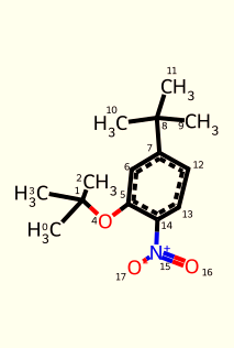 CC(C)(C)Oc1cc(C(C)(C)C)ccc1[N+](=O)[O-]